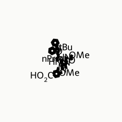 CCC[C@@H](CCO[Si](c1ccccc1)(c1ccccc1)C(C)(C)C)Nc1nc(NC(=O)OC)nc2cnn(Cc3cc(C(=O)O)ccc3OC)c12